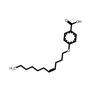 CCCCCC/C=C\CCCOc1ccc(C(=O)O)cc1